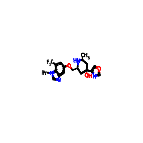 CC(C)n1cnc2cc(OC[C@@H]3C[C@](O)(c4cocn4)C[C@H](C)N3)cc(C(F)(F)F)c21